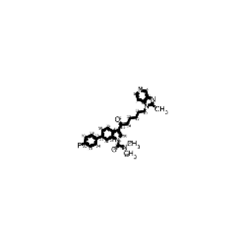 Cc1nc2cnccc2n1CCCCCC(=O)c1cn(C(=O)N(C)C)c2cc(-c3ccc(F)cc3)ccc12